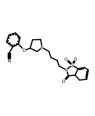 N#Cc1ccccc1OC1CCN(CCCCN2C(=O)C3CC=CC=C3S2(=O)=O)C1